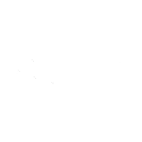 Cn1cc(CCCc2ccc(C(=O)O)cc2)c2c(O)nc(N)nc21